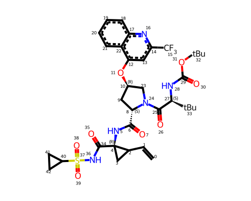 C=CC1C[C@]1(NC(=O)[C@@H]1C[C@@H](Oc2cc(C(F)(F)F)nc3ccccc23)CN1C(=O)[C@@H](NC(=O)OC(C)(C)C)C(C)(C)C)C(=O)NS(=O)(=O)C1CC1